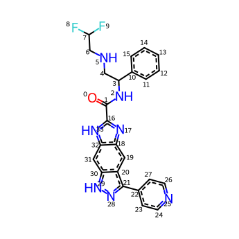 O=C(NC(CNCC(F)F)c1ccccc1)c1nc2cc3c(-c4ccncc4)n[nH]c3cc2[nH]1